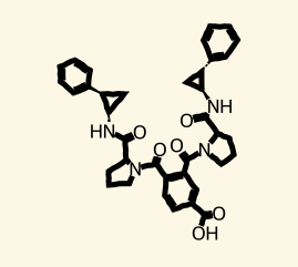 O=C(O)c1ccc(C(=O)N2CCCC2C(=O)N[C@H]2C[C@@H]2c2ccccc2)c(C(=O)N2CCCC2C(=O)N[C@H]2C[C@@H]2c2ccccc2)c1